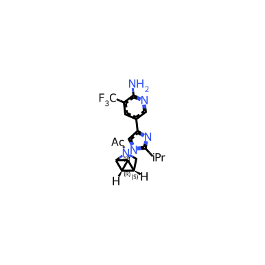 CC(=O)N1C[C@@H]2[C@@H]3C1[C@@]23n1cc(-c2cnc(N)c(C(F)(F)F)c2)nc1C(C)C